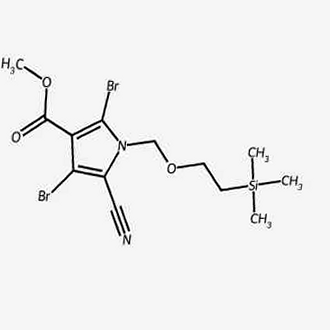 COC(=O)c1c(Br)c(C#N)n(COCC[Si](C)(C)C)c1Br